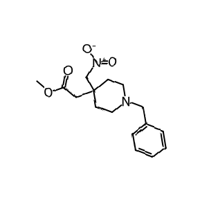 COC(=O)CC1(C[N+](=O)[O-])CCN(Cc2ccccc2)CC1